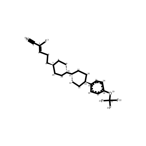 N#CC(F)=CCC[C@H]1CC[C@H]([C@H]2CC[C@H](c3ccc(OC(F)(F)F)cc3)CC2)CC1